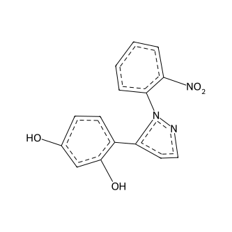 O=[N+]([O-])c1ccccc1-n1nccc1-c1ccc(O)cc1O